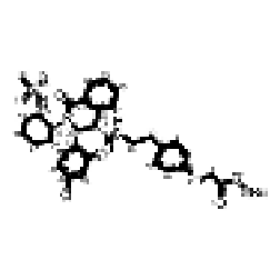 CC(C)(C)OC(=O)COc1ccc(CCNC(=O)[C@H]2c3ccccc3C(=O)N([C@H]3CCCC[C@@H]3NS(C)(=O)=O)[C@@H]2c2ccc(Cl)cc2Cl)cc1